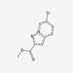 COC(=O)c1cc2ccc(Cl)cn2n1